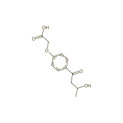 CC(O)CC(=O)c1ccc(OCC(=O)O)cc1